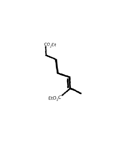 CCOC(=O)CCC/C=C(/C)C(=O)OCC